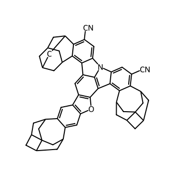 N#Cc1cc2c(c3c1C1CC4CC(C1)CC3C4)c1cc3c4cc5c(cc4oc3c3c4c6c(c(C#N)cc4n2c13)C1CC2CC3CC6CC23C1)C1CC2CC3CC5CC23C1